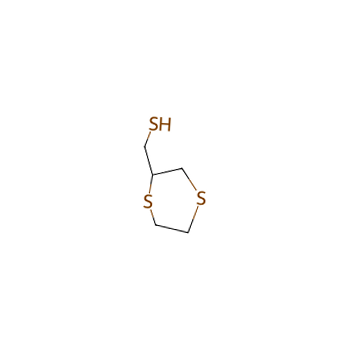 SCC1CSCCS1